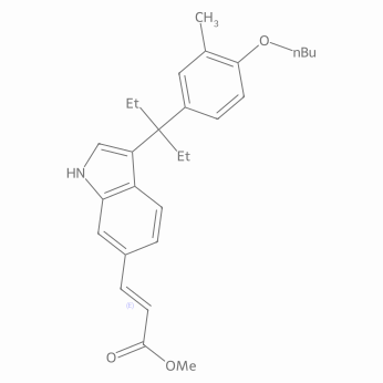 CCCCOc1ccc(C(CC)(CC)c2c[nH]c3cc(/C=C/C(=O)OC)ccc23)cc1C